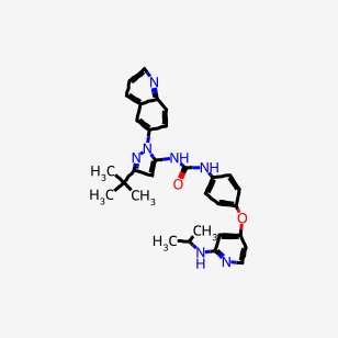 CC(C)Nc1cc(Oc2ccc(NC(=O)Nc3cc(C(C)(C)C)nn3-c3ccc4ncccc4c3)cc2)ccn1